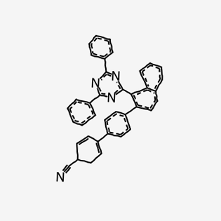 N#CC1C=CC(c2ccc(-c3ccc4ccccc4c3-c3nc(-c4ccccc4)nc(-c4ccccc4)n3)cc2)=CC1